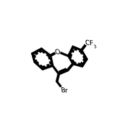 FC(F)(F)c1ccc2c(c1)Oc1ccccc1C(CBr)=C2